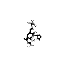 CCNC1=NC(C)=C2CC(CCC(=O)N(CC)CC)C(=O)N(C3CCCC3)C2N1